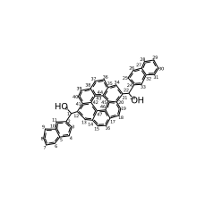 OC(c1ccc2ccccc2c1)c1cc2ccc3ccc4c(C(O)c5ccc6ccccc6c5)cc5ccc6ccc1c1c6c5c4c3c21